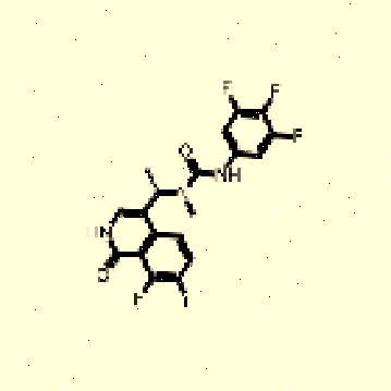 C[C@H](c1c[nH]c(=O)c2c(F)c(F)ccc12)N(C)C(=O)Nc1cc(F)c(F)c(F)c1